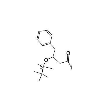 CC(C)(C)[Si](C)(C)OC(CC(=O)I)Cc1ccccc1